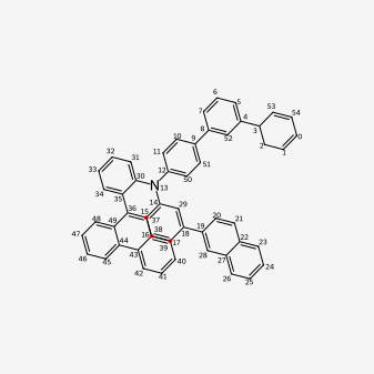 C1=CCC(c2cccc(-c3ccc(N(c4cccc(-c5ccc6ccccc6c5)c4)c4ccccc4-c4cc5ccccc5c5ccccc45)cc3)c2)C=C1